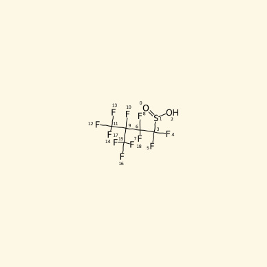 O=S(O)C(F)(F)C(F)(F)C(F)(C(F)(F)F)C(F)(F)F